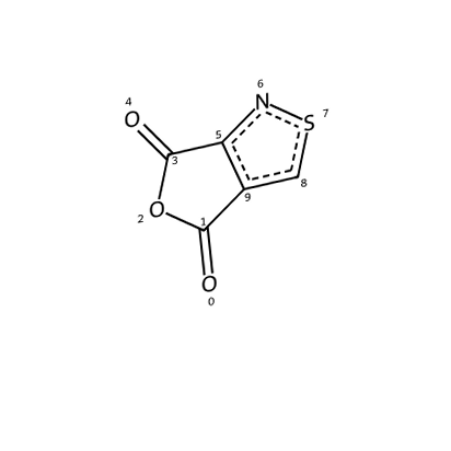 O=C1OC(=O)c2nscc21